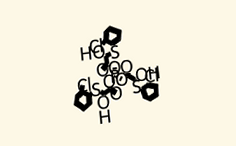 O=C(OP(OC(=O)C(O)Sc1ccccc1Cl)OC(=O)C(O)Sc1ccccc1Cl)C(O)Sc1ccccc1Cl